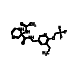 CCc1cc(CNC(=O)C2(NC(C)=O)C=NC=CN2)cnc1OCC(F)(F)F